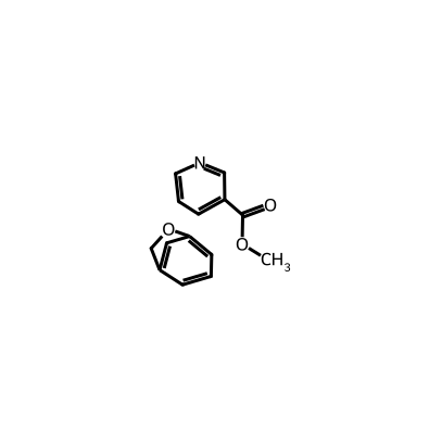 COC(=O)c1cccnc1.c1cc2cc(c1)OC2